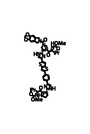 COC(=O)NC(C(=O)N1CCC[C@H]1c1nc(-c2ccc(-c3cc4sc(-c5c[nH]c([C@@H]6CN(C(=O)N7Cc8cc9c(cc8C7)OCO9)CN6C(=O)[C@@H](NC(=O)OC)C(C)C)n5)cc4s3)cc2)c[nH]1)C(C)C